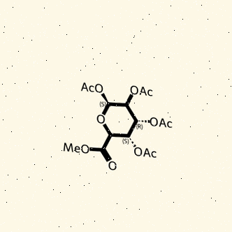 COC(=O)C1O[C@@H](OC(C)=O)C(OC(C)=O)[C@H](OC(C)=O)[C@@H]1OC(C)=O